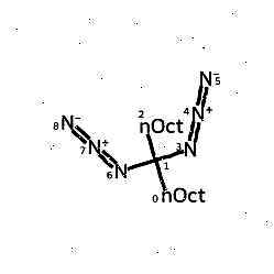 CCCCCCCCC(CCCCCCCC)(N=[N+]=[N-])N=[N+]=[N-]